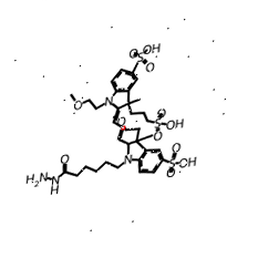 COCCN1/C(=C/C=C/C2N(CCCCCC(=O)NN)c3ccc(S(=O)(=O)O)cc3C2(C)CCOC)C(C)(CCCS(=O)(=O)O)c2cc(S(=O)(=O)O)ccc21